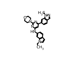 CCn1ccc2ccc(Nc3cc(-c4ccc5cnn(C)c5c4)nc(N4CCOCC4)n3)cc21